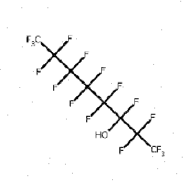 OC(F)(C(F)(F)C(F)(F)F)C(F)(F)C(F)(F)C(F)(F)C(F)(F)C(F)(F)F